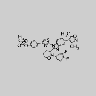 Cc1noc(C)c1-c1ccc2c(c1)nc(C1CCCON1c1ccc(F)c(F)c1)n2-c1nc(-c2ccc(OS(C)(=O)=O)cc2)cs1